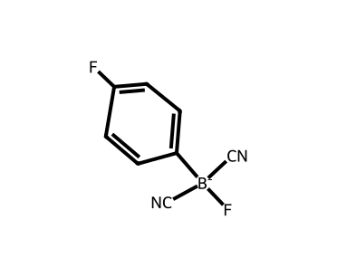 N#C[B-](F)(C#N)c1ccc(F)cc1